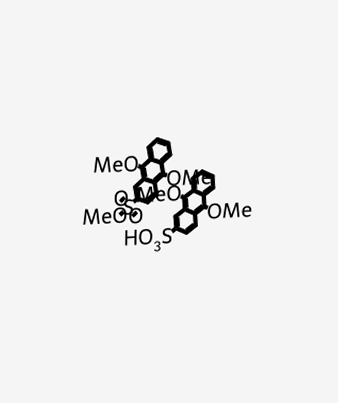 COc1c2ccccc2c(OC)c2cc(S(=O)(=O)O)ccc12.COc1c2ccccc2c(OC)c2cc(S(=O)(=O)OC)ccc12